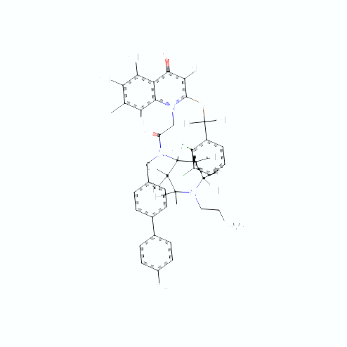 [2H]c1c(C)c([2H])c2c(c1[2H])c(=O)c([2H])c(SC([2H])([2H])c1cccc(F)c1F)n2CC(=O)N(Cc1ccc(-c2ccc(C(F)(F)F)cc2)cc1)C1([2H])C([2H])([2H])C([2H])([2H])N(CCOC)C([2H])([2H])C1([2H])[2H]